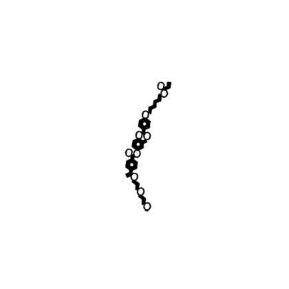 C=CC(=O)OCCCCCCOc1ccc(C(=O)Oc2ccc(OC(=O)c3ccc(C(=C)OCCCOCCCOC)cc3)cc2C)cc1